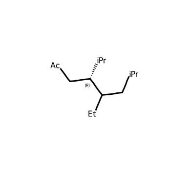 CCC(CC(C)C)[C@H](CC(C)=O)C(C)C